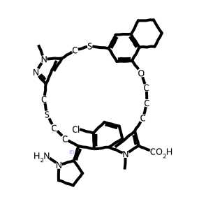 Cn1nc2cc1CSc1cc3c(c(c1)OCCCc1c(C(=O)O)n(C)c4c(c(Cl)ccc14)/C(=C1\CCCN1N)CCSC2)CCCC3